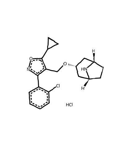 Cl.Clc1ccccc1-c1noc(C2CC2)c1CO[C@H]1C[C@H]2CC[C@@H](C1)N2